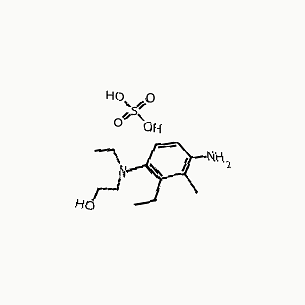 CCc1c(N(CC)CCO)ccc(N)c1C.O=S(=O)(O)O